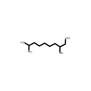 CCCCCCCCCC(CCCC)CCCCCC(N)N